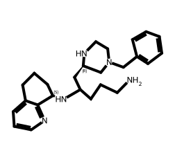 NCCCC(C[C@@H]1CN(Cc2ccccc2)CCN1)N[C@H]1CCCc2cccnc21